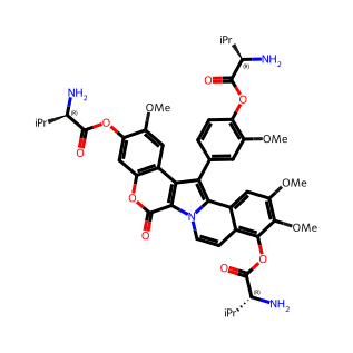 COc1cc(-c2c3c4cc(OC)c(OC(=O)[C@H](N)C(C)C)cc4oc(=O)c3n3ccc4c(OC(=O)[C@H](N)C(C)C)c(OC)c(OC)cc4c23)ccc1OC(=O)[C@H](N)C(C)C